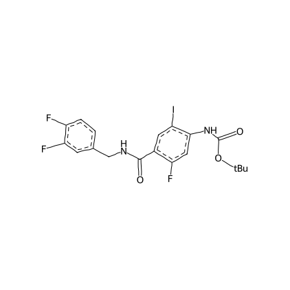 CC(C)(C)OC(=O)Nc1cc(F)c(C(=O)NCc2ccc(F)c(F)c2)cc1I